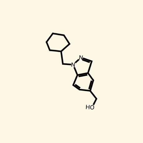 OCc1ccc2c(cnn2CC2CCCCC2)c1